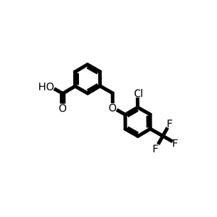 O=C(O)c1cccc(COc2ccc(C(F)(F)F)cc2Cl)c1